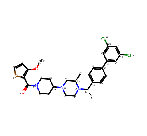 CCCOc1ccsc1C(=O)N1CCC(N2CCN([C@@H](C)c3ccc(-c4cc(Cl)cc(Cl)c4)cc3)[C@H](C)C2)CC1